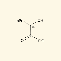 CCCC(=O)[C@@H](O)CCC